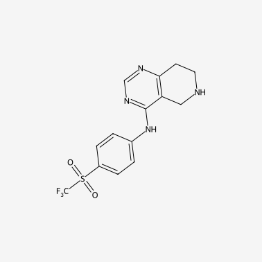 O=S(=O)(c1ccc(Nc2ncnc3c2CNCC3)cc1)C(F)(F)F